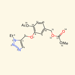 CCn1nncc1COc1cc(COC(=O)OC)ccc1OC(C)=O